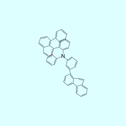 c1ccc(-c2cccc3cccc(-c4ccccc4N(c4ccccc4)c4cccc(-c5cccc6c5ccc5ccccc56)c4)c23)cc1